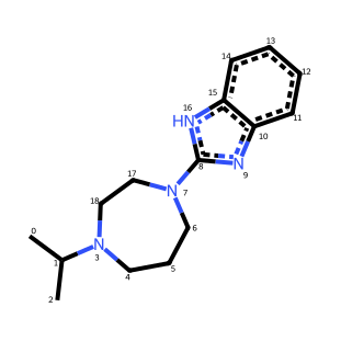 CC(C)N1CCCN(c2nc3ccccc3[nH]2)CC1